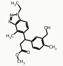 CCn1nnc2c(C)c(C(CC(=O)OC)c3ccc(C)c(CO)c3)ccc21